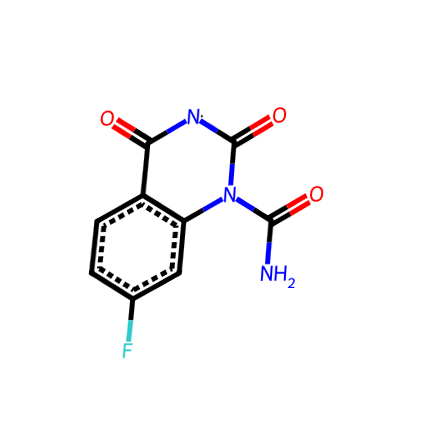 NC(=O)N1C(=O)[N]C(=O)c2ccc(F)cc21